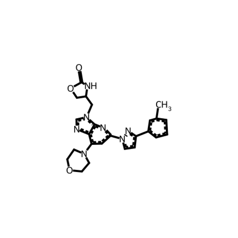 Cc1cccc(-c2ccn(-c3cc(N4CCOCC4)c4ncn(CC5COC(=O)N5)c4n3)n2)c1